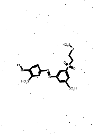 CCNc1ccc(N=Nc2cc(S(=O)(=O)O)cc(S(=O)(=O)CCOS(=O)(=O)O)c2)cc1S(=O)(=O)O